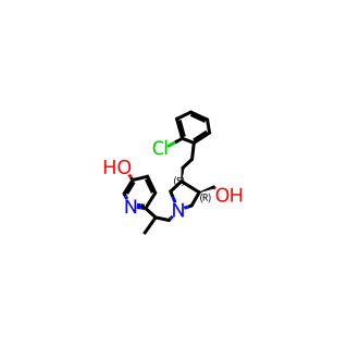 CC(CN1C[C@@H](CCc2ccccc2Cl)[C@@H](CO)C1)c1ccc(O)cn1